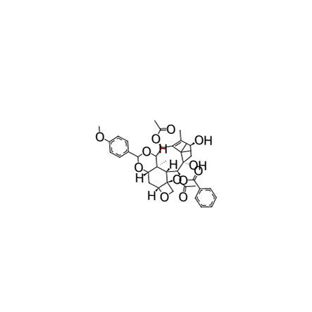 COc1ccc(C2O[C@H]3C[C@H]4OC[C@@]4(OC(C)=O)[C@H]4[C@H](OC(=O)c5ccccc5)[C@]5(O)C[C@H](O)C(C)=C([C@H](OC(C)=O)[C@H](O2)[C@]34C)C5(C)C)cc1